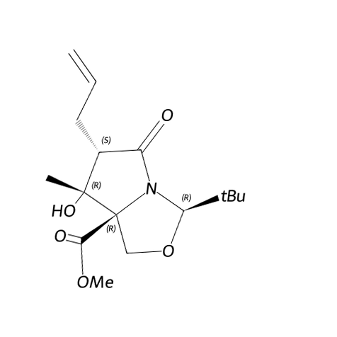 C=CC[C@@H]1C(=O)N2[C@@H](C(C)(C)C)OC[C@]2(C(=O)OC)[C@]1(C)O